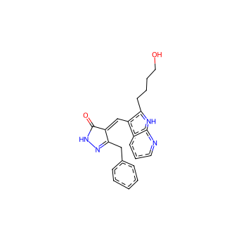 O=C1NN=C(Cc2ccccc2)C1=Cc1c(CCCCO)[nH]c2ncccc12